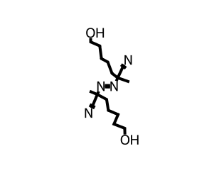 CC(C#N)(CCCCCO)/N=N/C(C)(C#N)CCCCCO